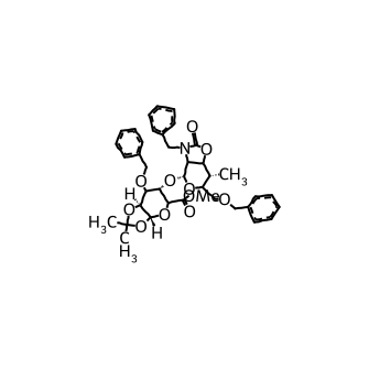 COC(=O)C1O[C@@H]2OC(C)(C)O[C@H]2C(OCc2ccccc2)[C@@H]1O[C@H]1OC(COCc2ccccc2)[C@@H](C)C2OC(=O)N(Cc3ccccc3)C21